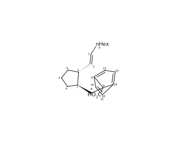 CCCCCCC=C[C@H]1CCC[C@@H]1CC1(C(=O)O)C2=CC=C1C=C2